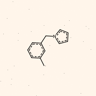 [CH2]c1cccc(Cn2cccc2)c1